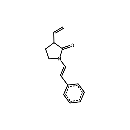 C=CC1CCN(C=Cc2ccccc2)C1=O